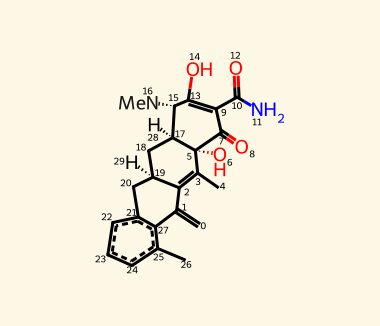 C=C1C2=C(C)[C@]3(O)C(=O)C(C(N)=O)=C(O)[C@@H](NC)[C@@H]3C[C@@H]2Cc2cccc(C)c21